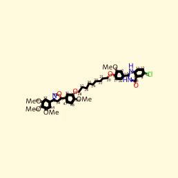 COc1cc(C2NC(=O)c3cc(Cl)ccc3N2)ccc1OCCCCCCCCCOc1cc(C2CC(c3cc(OC)c(OC)c(OC)c3)=NO2)ccc1OC